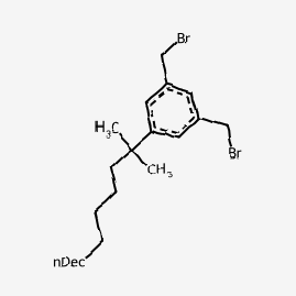 CCCCCCCCCCCCCCC(C)(C)c1cc(CBr)cc(CBr)c1